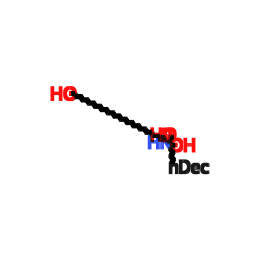 CCCCCCCCCCCCCCCC(O)C(CO)NC(=O)CCCCCCCCCCCCCCCCCCCCCCCCCCCCO